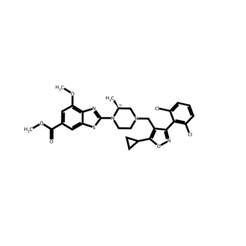 COC(=O)c1cc(OC)c2nc(N3CCN(Cc4c(-c5c(Cl)cccc5Cl)noc4C4CC4)C[C@@H]3C)sc2c1